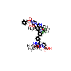 CC(C)c1ncc(N2CCN(C(=O)OCc3ccccc3)CC2)cc1-c1c(CC(C)(C)CO)c2cc(-c3cccc(C[C@H](NC(=O)OC(C)(C)C)C(=O)N4CCC[C@@H](C(=O)O)N4)c3)ccc2n1CC(F)(F)F